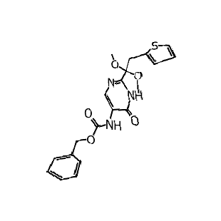 COC(Cc1cccs1)(OC)c1ncc(NC(=O)OCc2ccccc2)c(=O)[nH]1